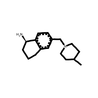 CC1CCN(Cc2ccc3c(c2)CCC[C@H]3N)CC1